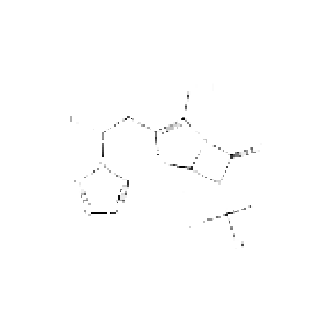 C[C@H](CC1=C(C(=O)O)N2C(=O)[C@H](C(C)(C)O)[C@H]2S1)n1cnnn1